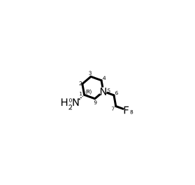 N[C@@H]1CCCN(CCF)C1